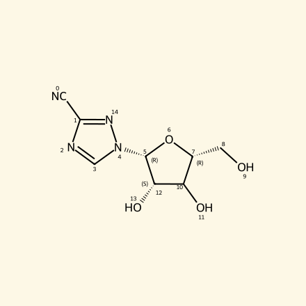 N#Cc1ncn([C@@H]2O[C@H](CO)C(O)[C@@H]2O)n1